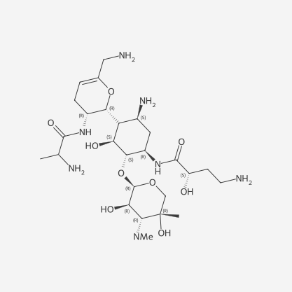 CN[C@@H]1[C@@H](O)[C@@H](O[C@H]2[C@H](NC(=O)[C@@H](O)CCN)C[C@H](N)C([C@H]3OC(CN)=CC[C@H]3NC(=O)C(C)N)[C@@H]2O)OC[C@]1(C)O